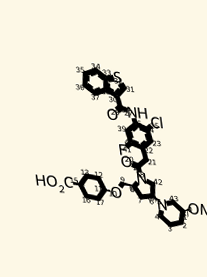 CO[C@@H]1CCCN([C@H]2C[C@@H](CO[C@H]3CC[C@H](C(=O)O)CC3)N(C(=O)Cc3cc(Cl)c(NC(=O)c4csc5ccccc45)cc3F)C2)C1